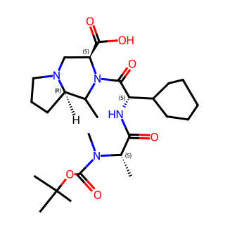 CC1[C@H]2CCCN2C[C@@H](C(=O)O)N1C(=O)[C@@H](NC(=O)[C@H](C)N(C)C(=O)OC(C)(C)C)C1CCCCC1